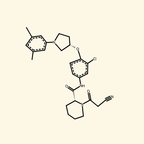 Cc1cc(C)cc(N2CC[C@H](Oc3ccc(NC(=O)[C@H]4CCCCN4C(=O)CC#N)cc3Cl)C2)c1